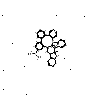 CC12SC3=C(C=CCC3)C1C=C1c3cc(B(O)O)ccc3-c3ccccc3-c3ccccc3N3c4ccccc4C2C13C